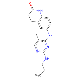 COCCNc1ncc(C)c(Nc2ccc3c(c2)CCC(=O)N3)n1